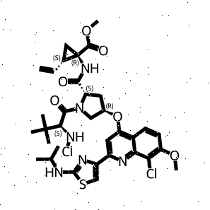 C=C[C@@H]1C[C@]1(NC(=O)[C@@H]1C[C@@H](Oc2cc(-c3csc(NC(C)C)n3)nc3c(Cl)c(OC)ccc23)CN1C(=O)[C@@H](NCl)C(C)(C)C)C(=O)OC